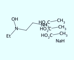 CC(=O)O.CC(=O)O.CC(=O)O.CCN(O)CCN.[NaH]